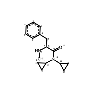 CN[C@@H](Cc1ccccc1)C(=O)N(C1CC1)C1CC1